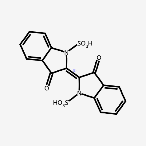 O=C1/C(=C2/C(=O)c3ccccc3N2S(=O)(=O)O)N(S(=O)(=O)O)c2ccccc21